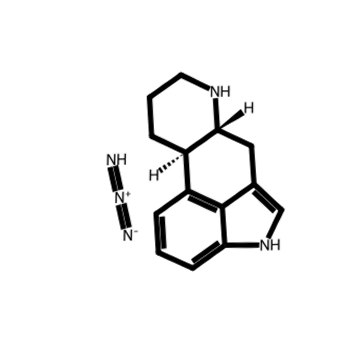 [N-]=[N+]=N.c1cc2c3c(c[nH]c3c1)C[C@H]1NCCC[C@H]21